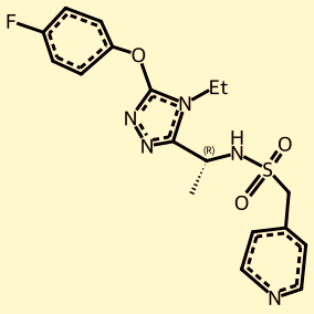 CCn1c(Oc2ccc(F)cc2)nnc1[C@@H](C)NS(=O)(=O)Cc1ccncc1